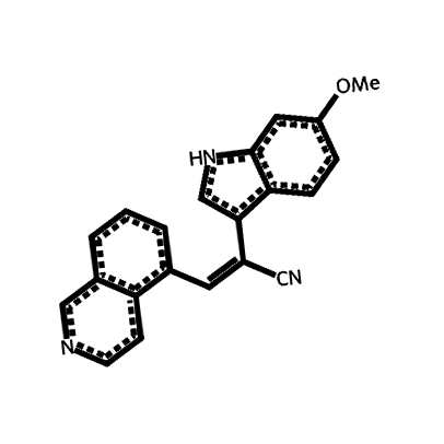 COc1ccc2c(C(C#N)=Cc3cccc4cnccc34)c[nH]c2c1